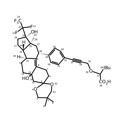 CC1(C)COC2(CCC3=C4[C@@H](CC[C@@]3(O)C2)[C@@H]2CC[C@@](O)(C(F)(F)C(F)(F)F)[C@@]2(C)C[C@@H]4c2ccc(C#CCOC(C(=O)O)C(C)(C)C)cc2)OC1